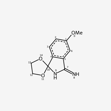 COc1ccc2c(c1)C(=N)NC21OCCO1